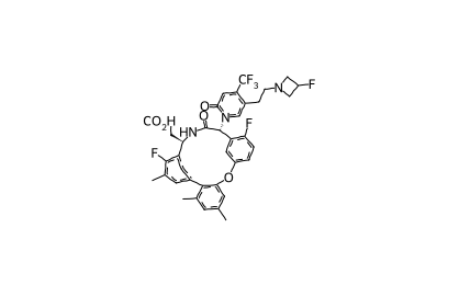 Cc1cc(C)c2c(c1)Oc1ccc(F)c(c1)[C@@H](n1cc(CCN3CC(F)C3)c(C(F)(F)F)cc1=O)C(=O)N[C@H](CC(=O)O)c1cc-2cc(C)c1F